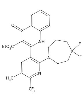 CCOC(=O)c1c(-c2cc(C)c(C(F)(F)F)nc2N2CCCC(F)(F)CC2)[nH]c2ccccc2c1=O